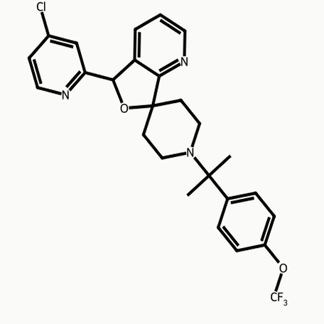 CC(C)(c1ccc(OC(F)(F)F)cc1)N1CCC2(CC1)OC(c1cc(Cl)ccn1)c1cccnc12